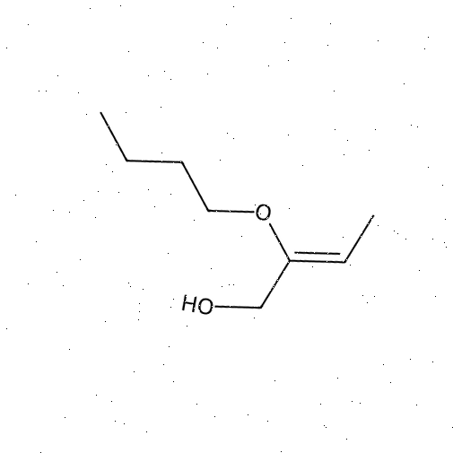 C/C=C(/CO)OCCCC